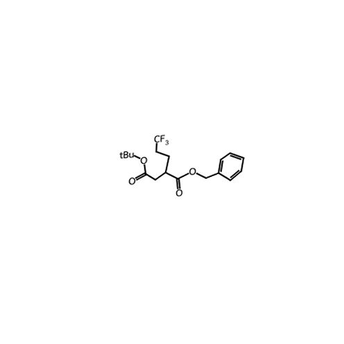 CC(C)(C)OC(=O)CC(CCC(F)(F)F)C(=O)OCc1ccccc1